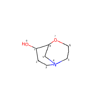 OC1CCN2CCOC1C2